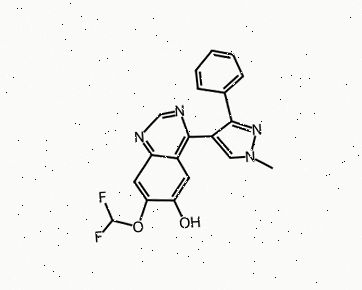 Cn1cc(-c2ncnc3cc(OC(F)F)c(O)cc23)c(-c2ccccc2)n1